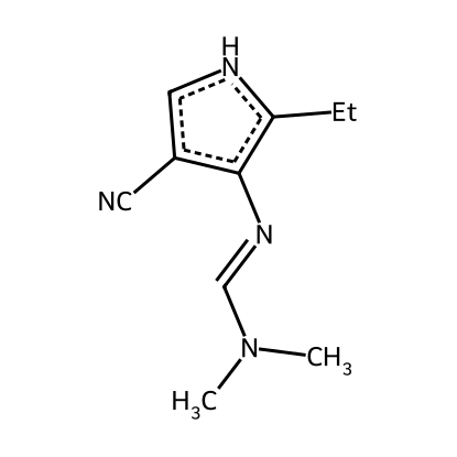 CCc1[nH]cc(C#N)c1/N=C/N(C)C